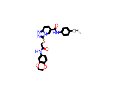 Cc1ccc(NC(=O)c2ccc3nnc(SCC(=O)Nc4ccc5c(c4)OCCO5)n3c2)cc1